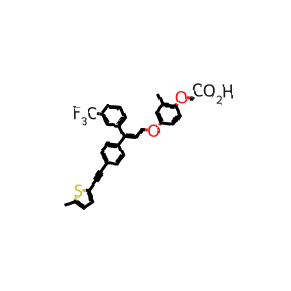 Cc1ccc(C#Cc2ccc(C(=CCOc3ccc(OCC(=O)O)c(C)c3)c3cccc(C(F)(F)F)c3)cc2)s1